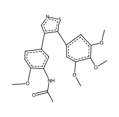 COc1ccc(-c2cnsc2-c2cc(OC)c(OC)c(OC)c2)cc1NC(C)=O